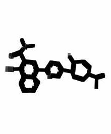 C=C(C)C1C=CC(I)=C(c2ccc(-c3cc(C(=O)N(C)C)c(O)c4ccccc34)nc2)C=C1